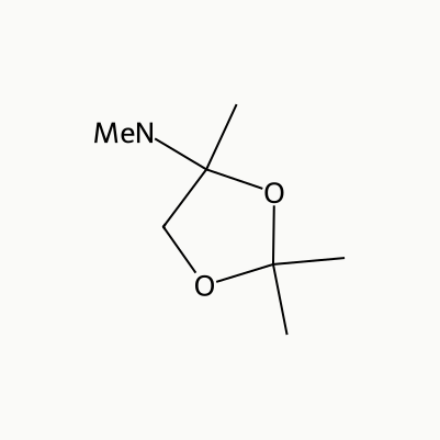 CNC1(C)COC(C)(C)O1